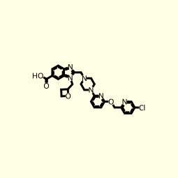 O=C(O)c1ccc2nc(CN3CCN(c4cccc(OCc5ccc(Cl)cn5)n4)CC3)n(CC3CCO3)c2c1